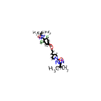 CC(C)c1noc(N2CCC(CCCOc3cc(F)c(-c4noc(C(C)C)n4)c(F)c3)CC2)n1